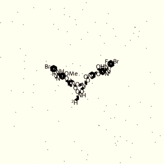 [2H]CCCNC(=O)OCCN(CCOC(=O)N1CCC(COc2cc3ncnc(Nc4ccc(Br)cc4F)c3cc2CO)CC1)CCOC(=O)N1CCC(COc2cc3ncnc(Nc4ccc(Br)cc4F)c3cc2OC)CC1